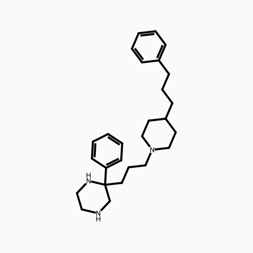 c1ccc(CCCC2CCN(CCCC3(c4ccccc4)CNCCN3)CC2)cc1